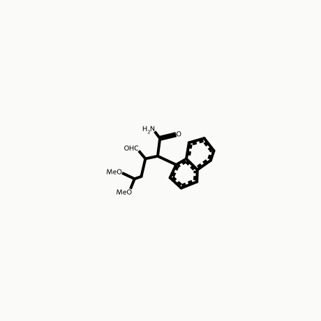 COC(CC(C=O)C(C(N)=O)c1cccc2ccccc12)OC